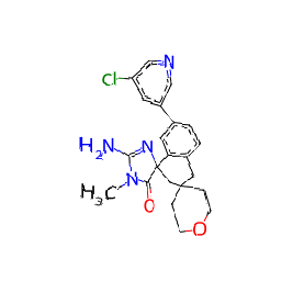 CN1C(=O)C2(CC3(CCOCC3)Cc3ccc(-c4cncc(Cl)c4)cc32)N=C1N